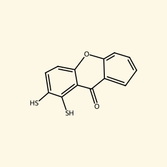 O=c1c2ccccc2oc2ccc(S)c(S)c12